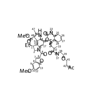 CC[C@@H]1CN(C(=O)c2cc3cc(OC)ccc3o2)c2cc(OC(=O)N(C)c3ccccc3SSC(C)C(=O)N(C)CCOCCC(C)=O)c3[nH]c(C)c(C(=O)OC)c3c21